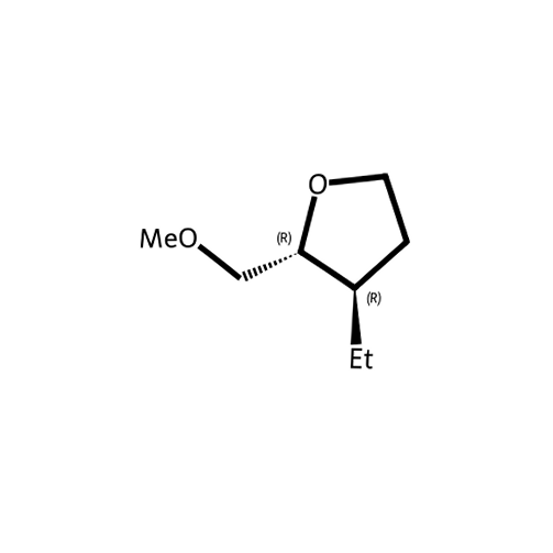 CC[C@@H]1CCO[C@H]1COC